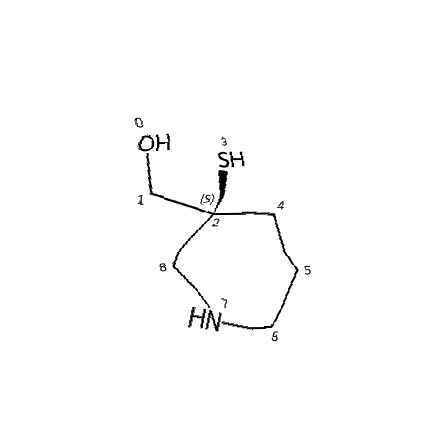 OC[C@]1(S)CCCNC1